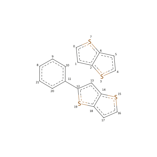 c1cc2sccc2s1.c1ccc(-c2cc3sccc3s2)cc1